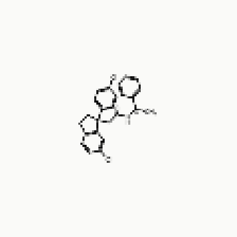 C[C@@H](NC(=O)CC1(c2ccc(Cl)cc2)CCc2ccc(Cl)cc21)c1ccccc1